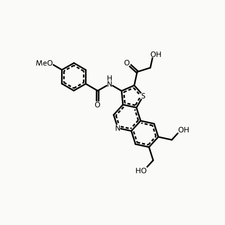 COc1ccc(C(=O)Nc2c(C(=O)CO)sc3c2cnc2cc(CO)c(CO)cc23)cc1